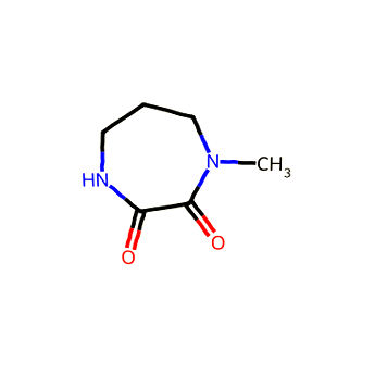 CN1CCCNC(=O)C1=O